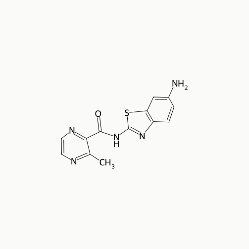 Cc1nccnc1C(=O)Nc1nc2ccc(N)cc2s1